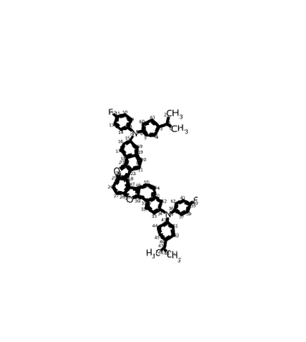 CC(C)c1ccc(N(c2ccc(F)cc2)c2ccc3c(ccc4c3oc3ccc5oc6c7ccc(N(c8ccc(F)cc8)c8ccc(C(C)C)cc8)cc7ccc6c5c34)c2)cc1